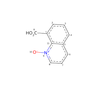 O=C(O)c1cccc2ccc[n+]([O-])c12